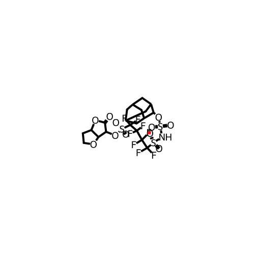 O=C1OC2CCOC2C1OS(=O)(=O)C(F)(F)C(F)(F)C(F)(F)C(F)(F)S(=O)(=O)NS(=O)(=O)OC1C2CC3CC(C2)CC1C3